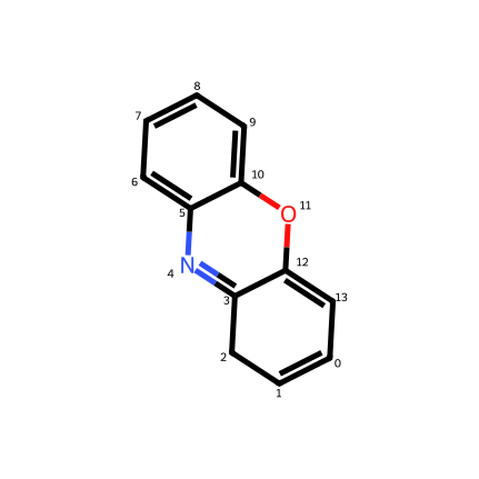 C1=CCC2=Nc3ccccc3OC2=C1